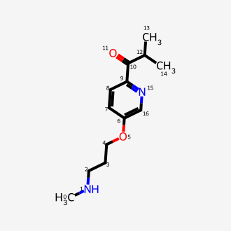 CNCCCOc1ccc(C(=O)C(C)C)nc1